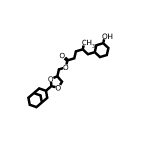 CC(CCC(=O)OCC1COC(C2CC3CCCC(C3)C2)O1)CC1CCCC(O)C1